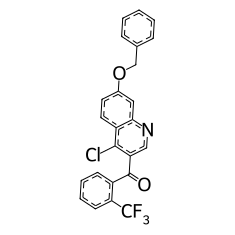 O=C(c1ccccc1C(F)(F)F)c1cnc2cc(OCc3ccccc3)ccc2c1Cl